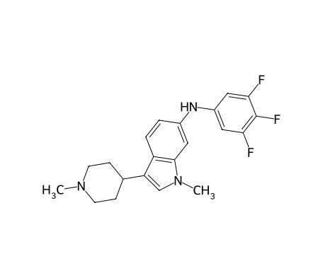 CN1CCC(c2cn(C)c3cc(Nc4cc(F)c(F)c(F)c4)ccc23)CC1